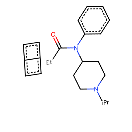 CCC(=O)N(c1ccccc1)C1CCN(C(C)C)CC1.c1cc2ccc1-2